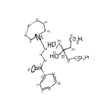 O=C(CCCN1CCCCCC1)c1ccccc1.O=C(O)CC(O)(CC(=O)O)C(=O)O